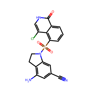 N#Cc1cc(N)c2c(c1)N(S(=O)(=O)c1cccc3c(=O)[nH]cc(Cl)c13)CC2